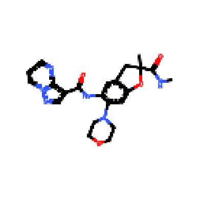 CNC(=O)C1(C)Cc2cc(NC(=O)c3cnn4cccnc34)c(N3CCOCC3)cc2O1